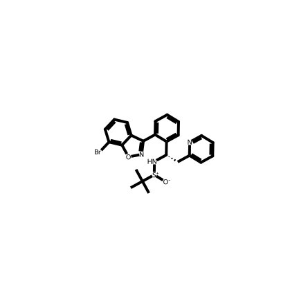 CC(C)(C)[S+]([O-])N[C@@H](Cc1ccccn1)c1ccccc1-c1noc2c(Br)cccc12